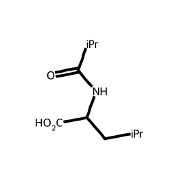 CC(C)CC(NC(=O)C(C)C)C(=O)O